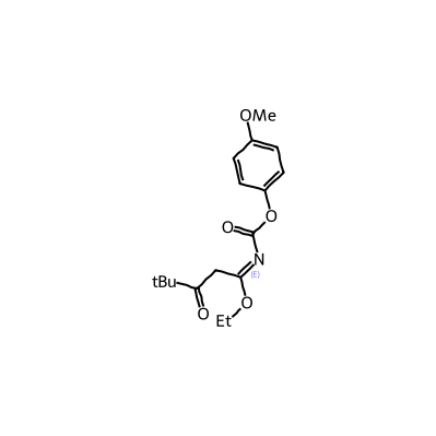 CCO/C(CC(=O)C(C)(C)C)=N/C(=O)Oc1ccc(OC)cc1